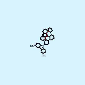 N#Cc1ccc2c(c1)c1cc(C#N)ccc1n2-c1ccc(-c2cccc(-c3ccccc3)c2-n2c3ccccc3c3ccccc32)c(-c2ccccc2)c1